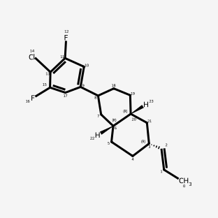 CC=C[C@@H]1CC[C@@H]2CC(c3cc(F)c(Cl)c(F)c3)CC[C@@H]2C1